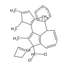 CC1=CC(C)=C(C2=C(C)[C]([Ge]3=[CH]C[CH2]3)([Hf]([Cl])[Cl])C3=C2C(c2ccccc2)C=CC=C3)C1C